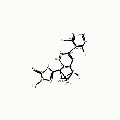 Cn1nc(C23CC[C@@H](c4cc(-c5c(F)cccc5F)nnc42)C3(C)C)oc1=O